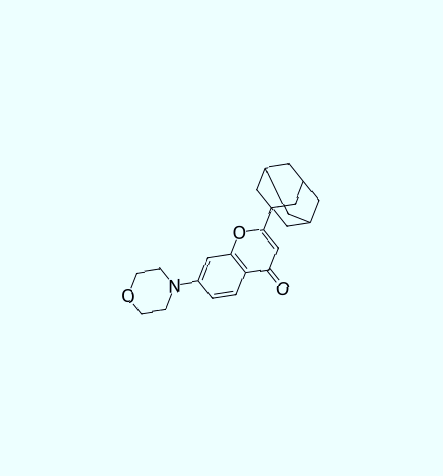 O=c1cc(C23CC4CC(CC(C4)C2)C3)oc2cc(N3CCOCC3)ccc12